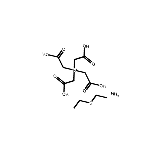 CCSCC.N.O=C(O)C[N+](CC(=O)O)(CC(=O)O)CC(=O)O